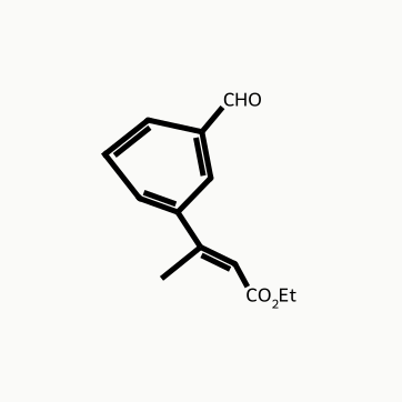 CCOC(=O)C=C(C)c1cccc(C=O)c1